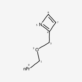 CCCCOCC1=NC=C1